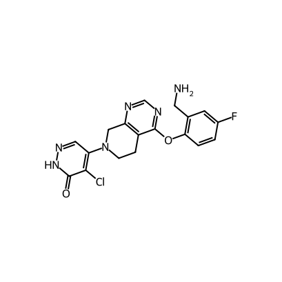 NCc1cc(F)ccc1Oc1ncnc2c1CCN(c1cn[nH]c(=O)c1Cl)C2